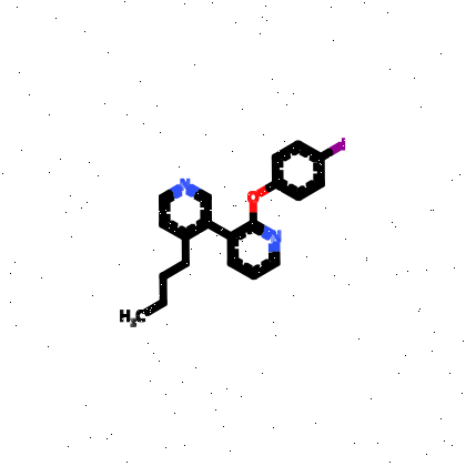 CCCCc1ccncc1-c1cccnc1Oc1ccc(I)cc1